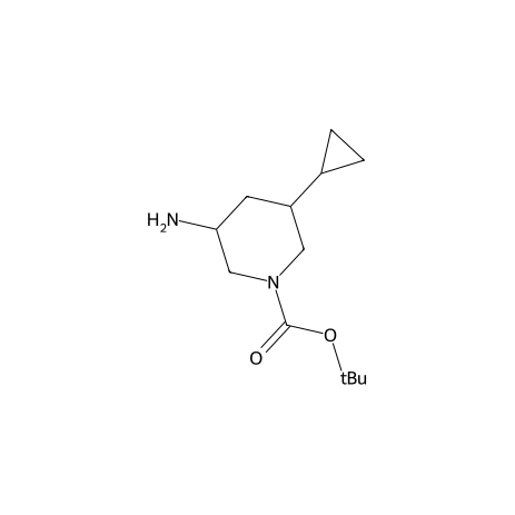 CC(C)(C)OC(=O)N1CC(N)CC(C2CC2)C1